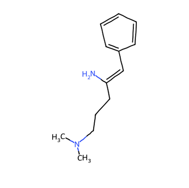 CN(C)CCCC(N)=Cc1ccccc1